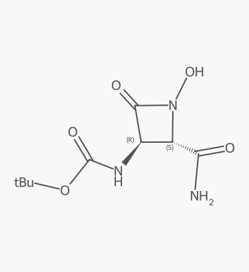 CC(C)(C)OC(=O)N[C@H]1C(=O)N(O)[C@@H]1C(N)=O